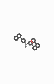 c1ccc(-c2cccc3cccc(-c4cccc(Nc5ccc(-c6cccc7ccccc67)cc5)c4)c23)cc1